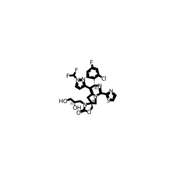 O=C1OC[C@]2(CC3=C(c4ccn(C(F)F)n4)[C@H](c4ccc(F)cc4Cl)N=C(c4nccs4)N3C2)N1C[C@H](O)CO